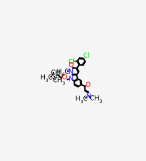 CN(C)C=CC(=O)c1ccc2c(c1)c1cc(-c3ccc(Cl)cc3Cl)c(=O)n(C)c1n2COCC[Si](C)(C)C